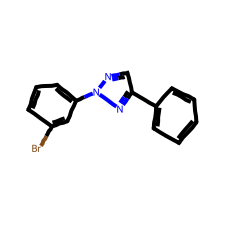 Brc1cccc(-n2ncc(-c3ccccc3)n2)c1